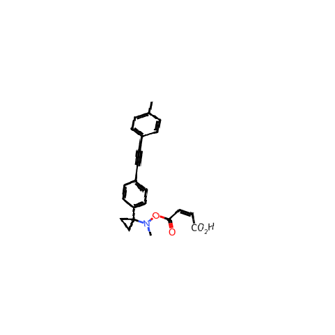 Cc1ccc(C#Cc2ccc(C3(N(C)OC(=O)/C=C\C(=O)O)CC3)cc2)cc1